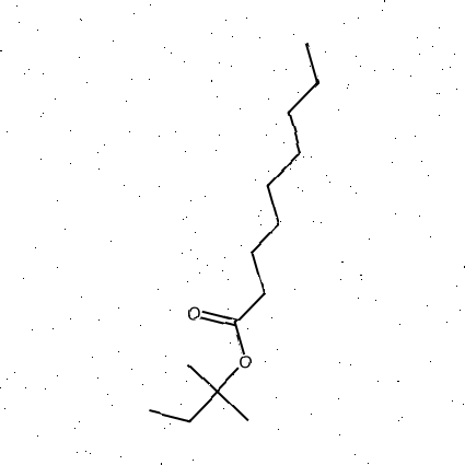 CCCCCCCCC(=O)OC(C)(C)CC